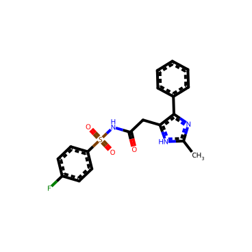 Cc1nc(-c2ccccc2)c(CC(=O)NS(=O)(=O)c2ccc(F)cc2)[nH]1